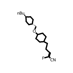 CCCC[C@H]1CC[C@H](COC2CCC(CCC=C(F)C#N)CC2)CC1